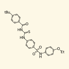 CCOc1ccc(NS(=O)(=O)c2ccc(NC(=S)NC(=O)c3ccc(C(C)(C)C)cc3)cc2)cc1